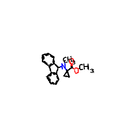 COC(=O)C1(N(C)C2c3ccccc3-c3ccccc32)CC1